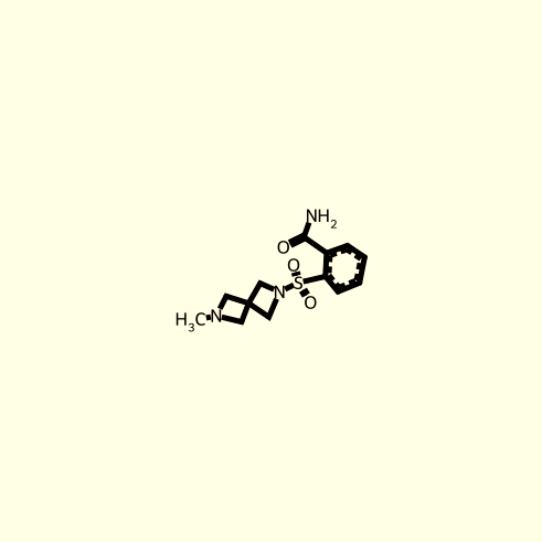 CN1CC2(C1)CN(S(=O)(=O)c1ccccc1C(N)=O)C2